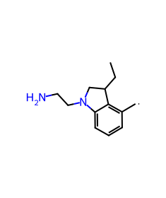 [CH2]c1cccc2c1C(CC)CN2CCN